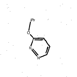 CC(C)Oc1cccnn1